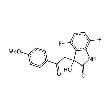 COc1ccc(C(=O)CC2(O)C(=O)Nc3c(F)ccc(F)c32)cc1